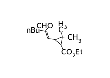 CCCCC(C=O)=CC1C(C(=O)OCC)C1(C)C